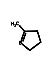 CC1=BCCC1